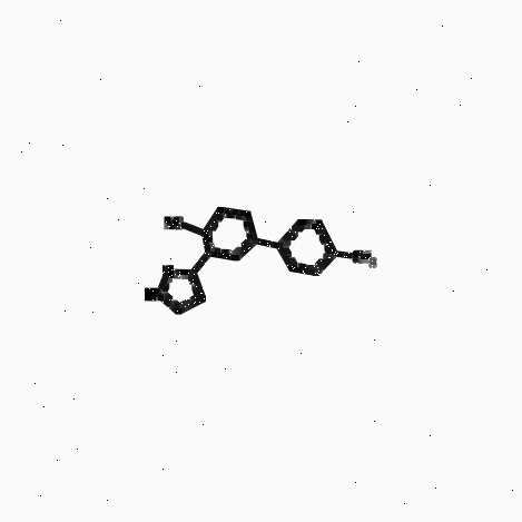 Cc1ccc(-c2ccc(C#N)c(-c3cc[nH]n3)c2)cc1